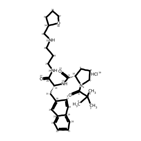 CC(C)(C)C(=O)N1CCC[C@H]1C(=O)N[C@H](Cc1ccc2ccccc2c1)C(=O)NCCCNCC1CCCO1.Cl